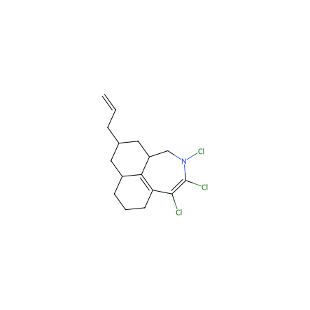 C=CCC1CC2CCCC3=C2C(C1)CN(Cl)C(Cl)=C3Cl